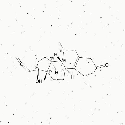 C=C=C[C@]1(O)CC[C@H]2[C@@H]3[C@H](C)CC4=C(CCC(=O)C4)[C@H]3CC[C@@]21C